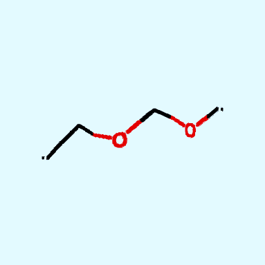 [CH2]COCO[CH2]